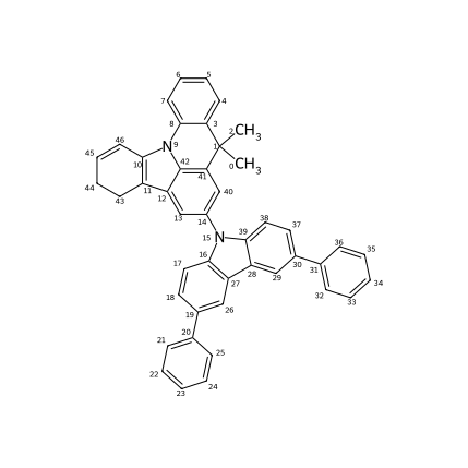 CC1(C)c2ccccc2-n2c3c(c4cc(-n5c6ccc(-c7ccccc7)cc6c6cc(-c7ccccc7)ccc65)cc1c42)CCC=C3